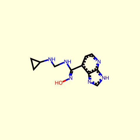 ON=C(NCNC1CC1)c1ccnc2[nH]cnc12